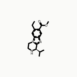 CCc1cc2c(cc1C(=O)OC)nc1n2CCN[C@@H]1C(C)C